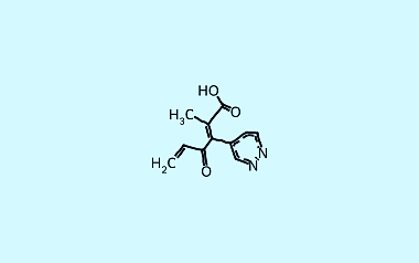 C=CC(=O)C(=C(C)C(=O)O)c1ccnnc1